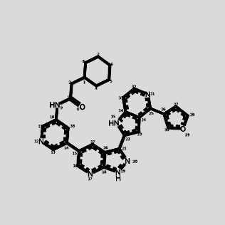 O=C(CC1CCCCC1)Nc1cncc(-c2cnc3[nH]nc(-c4cc5c(-c6ccoc6)nccc5[nH]4)c3c2)c1